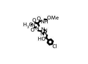 COCCNC(=O)c1cn(Cc2nnn(C[C@H](O)c3ccc(Cl)cc3)n2)c(=O)n(C)c1=O